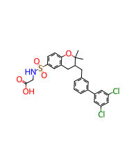 CC1(C)Oc2ccc(S(=O)(=O)NCC(=O)O)cc2CC1Cc1cccc(-c2cc(Cl)cc(Cl)c2)c1